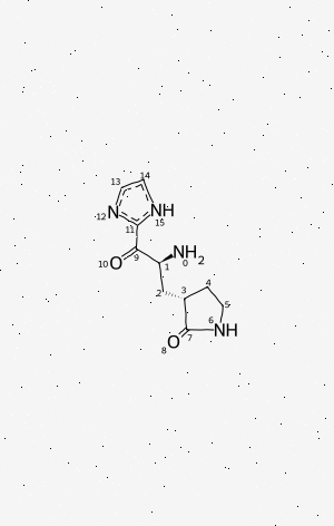 N[C@@H](C[C@@H]1CCNC1=O)C(=O)c1ncc[nH]1